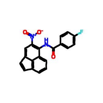 O=C(Nc1c([N+](=O)[O-])cc2c3c(cccc13)C=C2)c1ccc(F)cc1